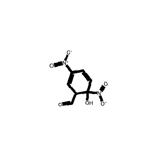 O=CC1C=C([N+](=O)[O-])C=CC1(O)[N+](=O)[O-]